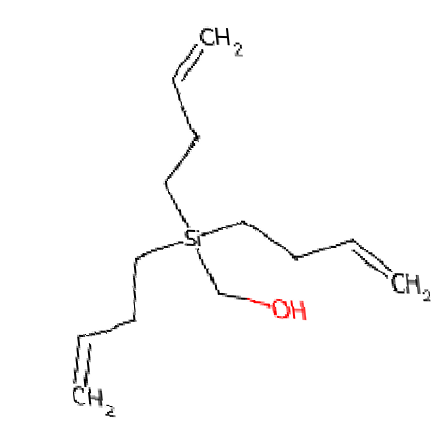 C=CCC[Si](CO)(CCC=C)CCC=C